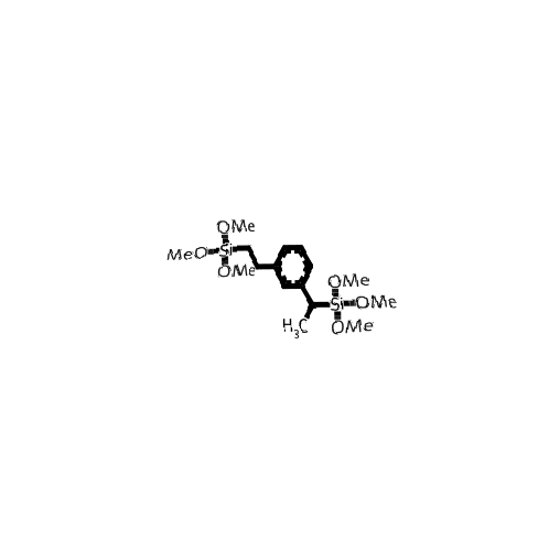 CO[Si](CCc1cccc(C(C)[Si](OC)(OC)OC)c1)(OC)OC